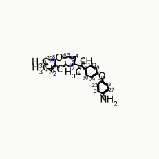 C=C/C=C(\C=C/COC(/C=C\C)=C/C)C(C)(C)c1ccc(Oc2ccc(N)cc2)cc1